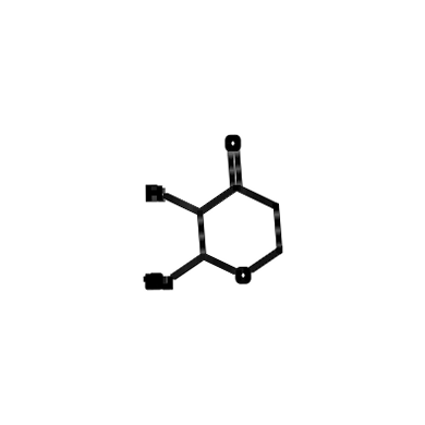 CCC1C(=O)CCOC1C(C)(C)C